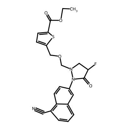 CCOC(=O)c1ccc(COCN2CC(F)C(=O)N2c2ccc3c(C#N)cccc3c2)s1